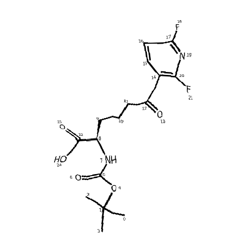 CC(C)(C)OC(=O)N[C@H](CCCC(=O)c1ccc(F)nc1F)C(=O)O